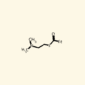 CCC(=O)SCCN(C)C